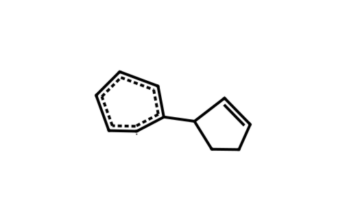 [c]1ccccc1C1C=CCC1